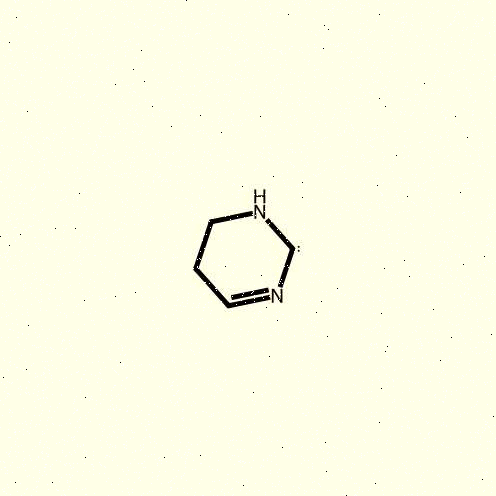 [C]1N=CCCN1